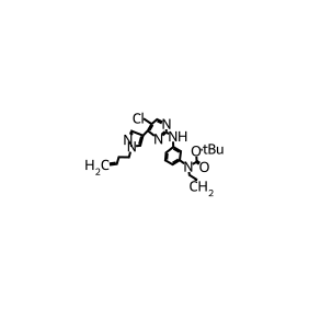 C=CCCn1cc(-c2nc(Nc3cccc(N(CC=C)C(=O)OC(C)(C)C)c3)ncc2Cl)cn1